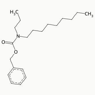 CCCCCCCCCN(CCC)C(=O)OCc1ccccc1